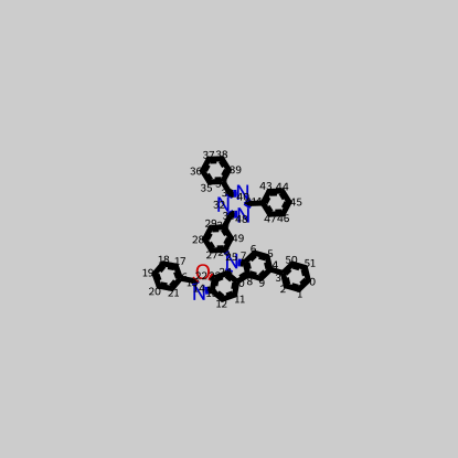 c1ccc(-c2ccc3c(c2)c2ccc4nc(-c5ccccc5)oc4c2n3-c2cccc(-c3nc(-c4ccccc4)nc(-c4ccccc4)n3)c2)cc1